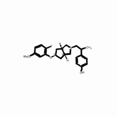 COc1ccc(F)c(O[C@H]2C[C@@H]3CN(CC(C)c4ccc(O)cc4)C[C@@H]3C2)c1